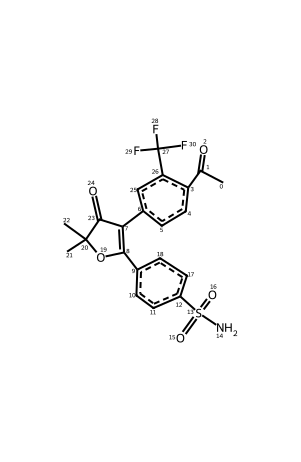 CC(=O)c1ccc(C2=C(c3ccc(S(N)(=O)=O)cc3)OC(C)(C)C2=O)cc1C(F)(F)F